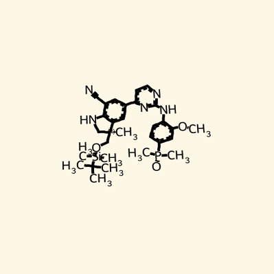 COc1cc(P(C)(C)=O)ccc1Nc1nccc(-c2cc(C#N)c3c(c2)[C@@](C)(CO[Si](C)(C)C(C)(C)C)CN3)n1